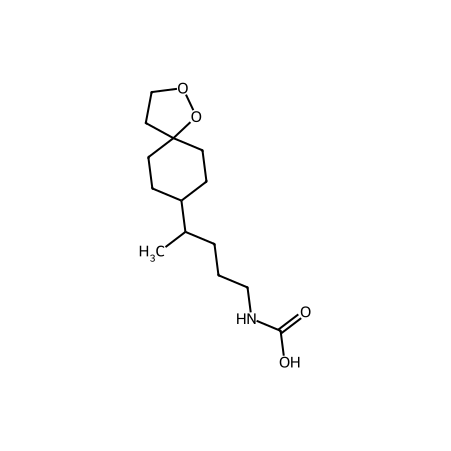 CC(CCCNC(=O)O)C1CCC2(CCOO2)CC1